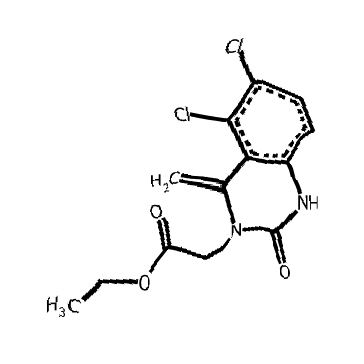 C=C1c2c(ccc(Cl)c2Cl)NC(=O)N1CC(=O)OCC